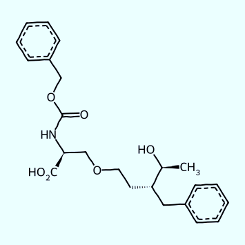 C[C@H](O)[C@@H](CCOC[C@H](NC(=O)OCc1ccccc1)C(=O)O)Cc1ccccc1